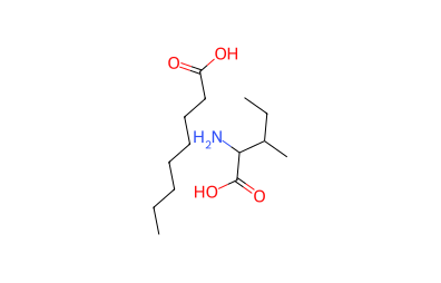 CCC(C)C(N)C(=O)O.CCCCCCCC(=O)O